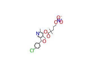 Cc1ncc2c(c1OC(=O)C(C)(C)CCCO[N+](=O)[O-])COC2c1ccc(Cl)cc1